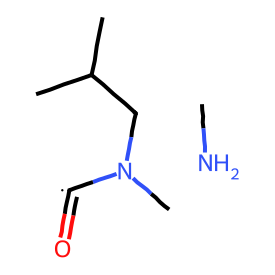 CC(C)CN(C)[C]=O.CN